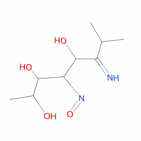 CC(C)C(=N)C(O)C(N=O)C(O)C(C)O